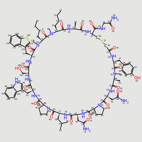 CCCC[C@H]1C(=O)N(C)[C@@H](CCCC)C(=O)N[C@@H](C)C(=O)NC(C(=O)NCC(N)=O)CSCC(=O)N[C@@H](Cc2ccc(O)cc2)C(=O)N(C)[C@@H](C)C(=O)N[C@@H](CC(N)=O)C(=O)N2CCC[C@H]2C(=O)N[C@@H](CC(N)=O)C(=O)N[C@@H](CC(C)C)C(=O)N2CCC[C@H]2C(=O)N[C@@H](Cc2c[nH]c3ccccc23)C(=O)N[C@@H](CO)C(=O)N[C@@H](Cc2csc3ccccc23)C(=O)N1C